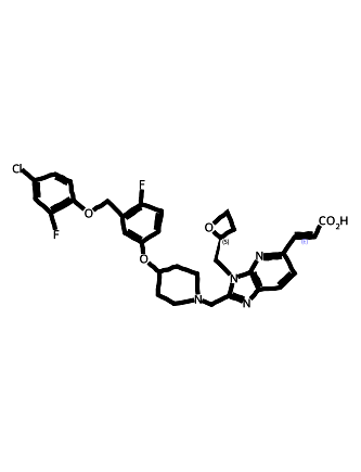 O=C(O)/C=C/c1ccc2nc(CN3CCC(Oc4ccc(F)c(COc5ccc(Cl)cc5F)c4)CC3)n(C[C@@H]3CCO3)c2n1